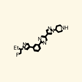 CCC(CF)n1cc(-c2cccc(-c3ncc(-c4cnn(C5CCNCC5)c4)cn3)c2)cn1